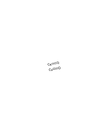 [O]=[Ce].[O]=[Cu]